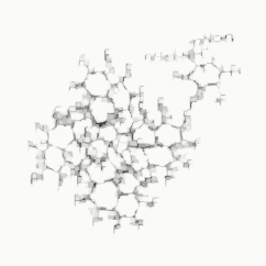 CCCCCCCCC[NH+](CCCCCC)c1cc(F)c(F)c(F)c1F.Fc1c(F)c2c(F)c(F)c3c(F)c(F)[c]([Al-]([c]4c(F)c(F)c5c(F)c(F)c6c(F)c(F)c(F)c7c(F)c(F)c4c5c67)([c]4c(F)c(F)c5c(F)c(F)c6c(F)c(F)c(F)c7c(F)c(F)c4c5c67)[c]4c(F)c(F)c5c(F)c(F)c6c(F)c(F)c(F)c7c(F)c(F)c4c5c67)c4c(F)c(F)c(c1F)c2c34